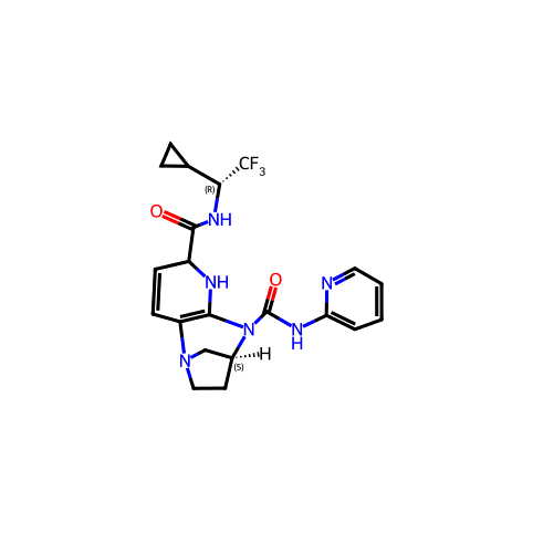 O=C(N[C@H](C1CC1)C(F)(F)F)C1C=CC2=C(N1)N(C(=O)Nc1ccccn1)[C@H]1CCN2C1